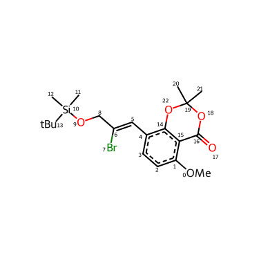 COc1ccc(/C=C(\Br)CO[Si](C)(C)C(C)(C)C)c2c1C(=O)OC(C)(C)O2